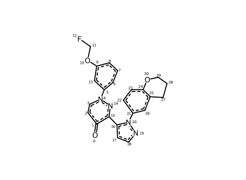 O=c1ccn(-c2cccc(OCF)c2)nc1-c1ccnn1-c1ccc2c(c1)CCCO2